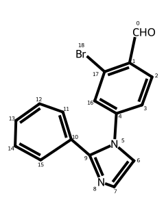 O=Cc1ccc(-n2ccnc2-c2ccccc2)cc1Br